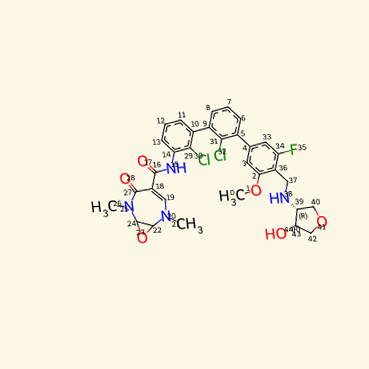 COc1cc(-c2cccc(-c3cccc(NC(=O)C4=CN(C)C5OC5N(C)C4=O)c3Cl)c2Cl)cc(F)c1CN[C@@H]1COC[C@@H]1O